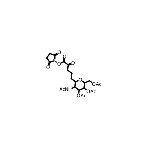 CC(=O)NC1C(CCCC(=O)C(=O)ON2C(=O)CCC2=O)OC(COC(C)=O)C(OC(C)=O)C1OC(C)=O